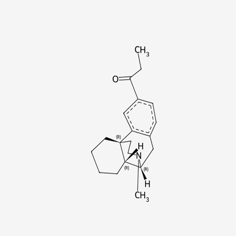 CCC(=O)c1ccc2c(c1)[C@@]13CCCC[C@H]1[C@@H](C2)N(C)CC3